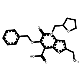 CCc1cc2c(s1)c(C(=O)O)c(OCc1ccccc1)c(=O)n2CC1CCCO1